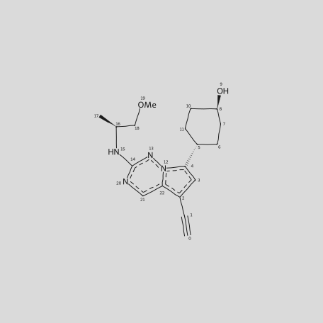 C#Cc1cc([C@H]2CC[C@H](O)CC2)n2nc(N[C@@H](C)COC)ncc12